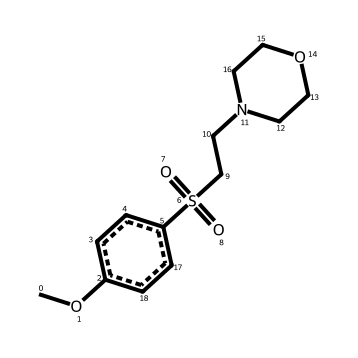 COc1ccc(S(=O)(=O)CCN2CCOCC2)cc1